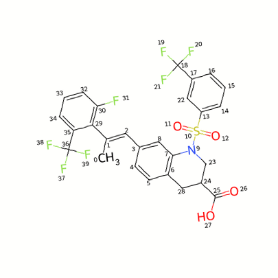 C/C(=C\c1ccc2c(c1)N(S(=O)(=O)c1cccc(C(F)(F)F)c1)CC(C(=O)O)C2)c1c(F)cccc1C(F)(F)F